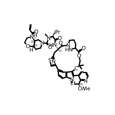 C=CC(=O)N1CCO[C@H]2CCN(C(=O)N(C)[C@H](C(=O)N[C@H]3Cc4nc(cs4)-c4ccc5c(c4)c(c(-c4cccnc4[C@H](C)OC)n5CC)CC(C)(C)COC(=O)C4CCCN(N4)C3=O)C(C)C)C[C@@H]21